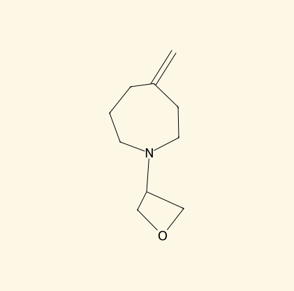 C=C1CCCN(C2COC2)CC1